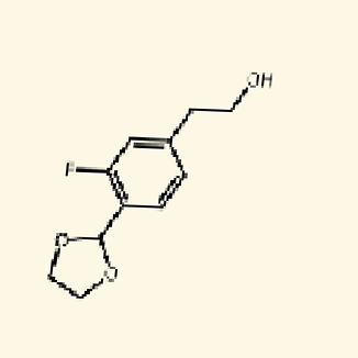 OCCc1ccc(C2OCCO2)c(F)c1